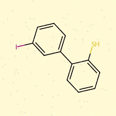 Sc1ccccc1-c1cccc(I)c1